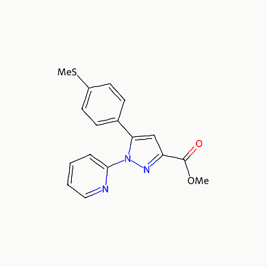 COC(=O)c1cc(-c2ccc(SC)cc2)n(-c2ccccn2)n1